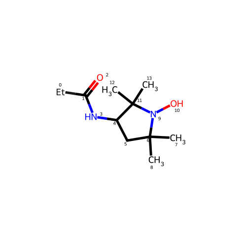 CCC(=O)NC1CC(C)(C)N(O)C1(C)C